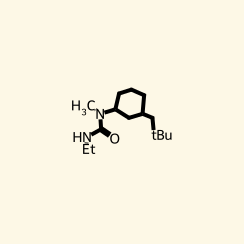 CCNC(=O)N(C)C1CCCC(CC(C)(C)C)C1